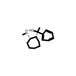 CN[C@H]1CCCCC[C@H]1C(C)(O)c1ccccc1